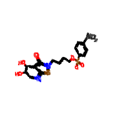 O=c1c2c(O)c(O)cnc2sn1CCCCOS(=O)(=O)c1ccc([N+](=O)[O-])cc1